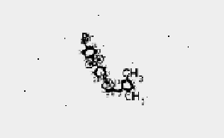 Cc1ccc(C)c(Cc2csc(N3CCC(S(=O)(=O)c4ccc(CBr)cc4)CC3)n2)c1